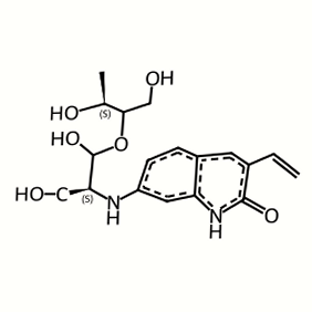 C=Cc1cc2ccc(N[C@@H](CO)C(O)OC(CO)[C@H](C)O)cc2[nH]c1=O